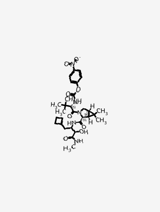 CNC(=O)C(O)C(CC1CCC1)NC(=O)[C@@H]1[C@@H]2[C@H](CN1C(=O)[C@@H](NC(=O)Oc1ccc([N+](=O)[O-])cc1)C(C)(C)C)C2(C)C